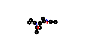 C1=CCC(c2cc(-c3cc4oc(-c5ccc(-c6ccccc6)cc5)nc4c4ccccc34)ccc2N(c2ccc(-c3ccccc3)cc2)c2ccc(-c3cccc4ccccc34)cc2)C=C1